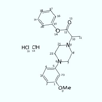 COc1cccc(N2CCN(C(C)C(=O)Oc3ccccc3)CC2)c1.Cl.Cl